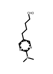 CN(C)c1ncc(CCCCC=O)cn1